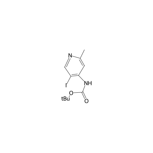 Cc1cc(NC(=O)OC(C)(C)C)c(I)cn1